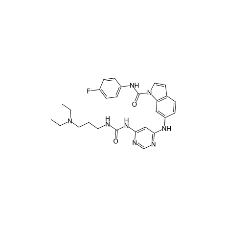 CCN(CC)CCCNC(=O)Nc1cc(Nc2ccc3ccn(C(=O)Nc4ccc(F)cc4)c3c2)ncn1